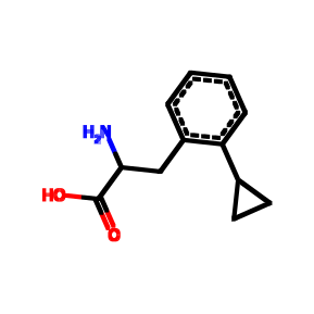 NC(Cc1ccccc1C1CC1)C(=O)O